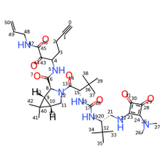 C#CCCC(NC(=O)[C@@H]1[C@@H]2[C@H](CN1C(=O)[C@@H](NC(=O)N[C@H](CNc1c(N(C)C)c(=O)c1=O)C(C)(C)C)C(C)(C)C)C2(C)C)C(=O)C(=O)NCC=C